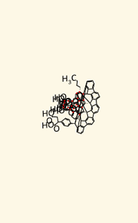 CCCC[C@]12C3=C4C5=C1[C@@]1(c6ccc(C(CC(=O)O)C(=O)O)cc6)c6c7ccc8c6[C@]5(c5ccc(C(CC(=O)O)C(=O)O)cc5)c5c-8ccc6c5[C@]4(c4ccc(C(CC(=O)O)C(=O)O)cc4)c4c-6ccc5c4[C@]3(c3ccc(C(CC(=O)O)C(=O)O)cc3)c3c-5ccc4c3[C@]2(c2ccc(C(CC(=O)O)C(=O)O)cc2)c2c-4ccc-7c21